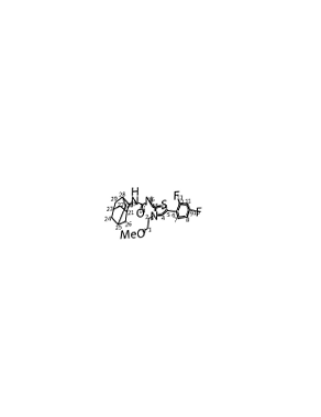 COCCn1cc(-c2ccc(F)cc2F)sc1=NC(=O)NC1C2CC3CC(C2)CC1C3